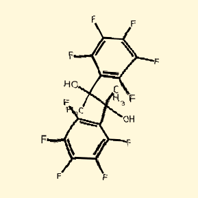 CC(O)(c1c(F)c(F)c(F)c(F)c1F)C(C)(O)c1c(F)c(F)c(F)c(F)c1F